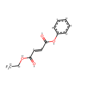 O=C(/C=C/C(=O)Oc1ccccc1)OCC(F)(F)F